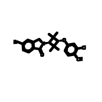 CC1(C)[C@H](Oc2ccc(C#N)c(Cl)c2)C(C)(C)[C@H]1N1Cc2cc(Br)ccc2C1=O